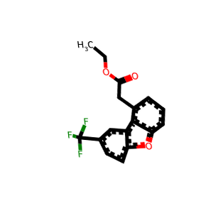 CCOC(=O)Cc1cccc2oc3ccc(C(F)(F)F)cc3c12